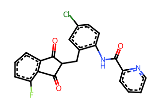 O=C(Nc1ccc(Cl)cc1CC1C(=O)c2cccc(F)c2C1=O)c1ccccn1